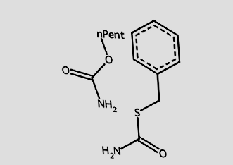 CCCCCOC(N)=O.NC(=O)SCc1ccccc1